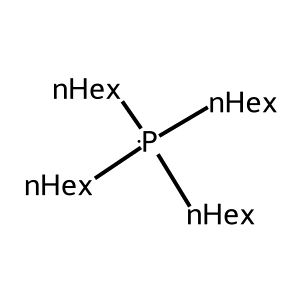 CCCCCC[P](CCCCCC)(CCCCCC)CCCCCC